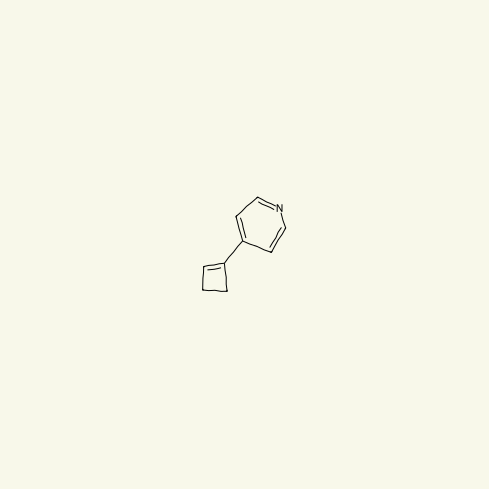 C1=C(c2ccncc2)CC1